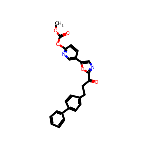 COC(=O)Oc1ccc(-c2cnc(C(=O)CCc3ccc(-c4ccccc4)cc3)o2)cn1